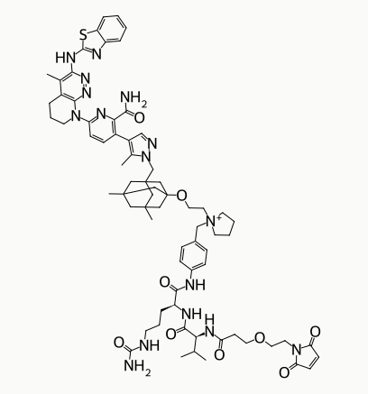 Cc1c(Nc2nc3ccccc3s2)nnc2c1CCCN2c1ccc(-c2cnn(CC34CC5(C)CC(C)(C3)CC(OCC[N+]3(Cc6ccc(NC(=O)[C@H](CCCNC(N)=O)NC(=O)[C@@H](NC(=O)CCOCCN7C(=O)C=CC7=O)C(C)C)cc6)CCCC3)(C5)C4)c2C)c(C(N)=O)n1